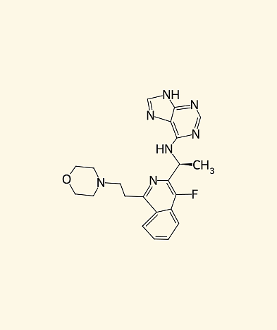 C[C@H](Nc1ncnc2[nH]cnc12)c1nc(CCN2CCOCC2)c2ccccc2c1F